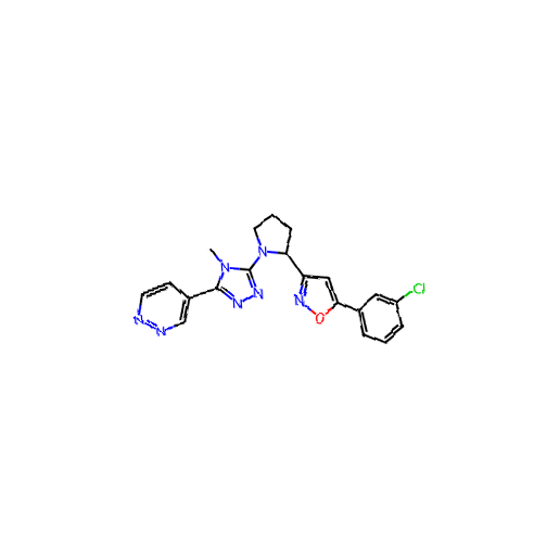 Cn1c(-c2ccnnc2)nnc1N1CCCC1c1cc(-c2cccc(Cl)c2)on1